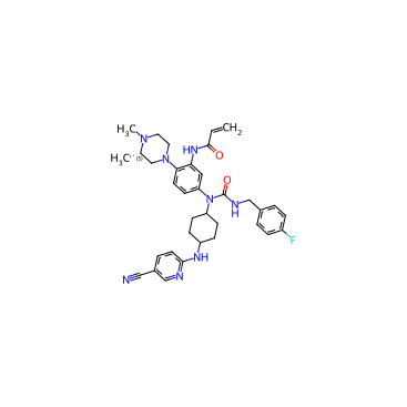 C=CC(=O)Nc1cc(N(C(=O)NCc2ccc(F)cc2)C2CCC(Nc3ccc(C#N)cn3)CC2)ccc1N1CCN(C)[C@@H](C)C1